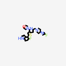 Fc1ccc2[nH]ccc2c1-c1cc2c(N3CCOCC3)nc(CN3CCC(N4CC(F)C4)CC3)cc2s1